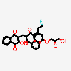 O=C(CO)COc1ccc(C(=O)C(CC2=C(O)C(=O)c3ccccc3C2=O)C(=O)c2ccccc2CCCCF)cc1